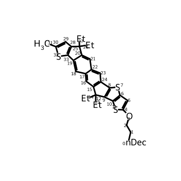 CCCCCCCCCCCCOc1cc2sc3c(c2s1)C(CC)(CC)c1cc2cc4c(cc2cc1-3)C(CC)(CC)c1cc(C)sc1-4